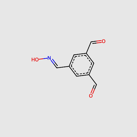 O=Cc1cc(C=O)cc(C=NO)c1